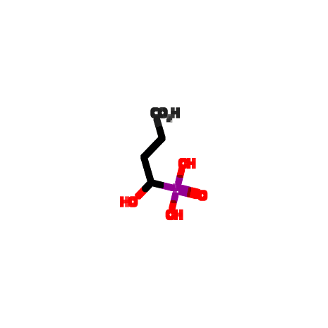 O=C(O)CCC(O)P(=O)(O)O